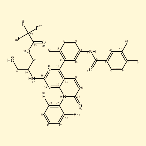 Cc1ccc(C(=O)Nc2ccc(C)c(-c3nc(NC(CO)COC(=O)C(F)(F)F)nc4c3ccc(=O)n4-c3c(F)cccc3F)c2)cc1C